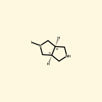 IN1C[C@H]2CNC[C@H]2C1